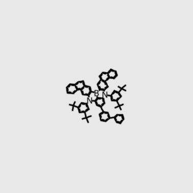 CC(C)(C)c1cc(N2c3cc4c(ccc5ccccc54)cc3B3c4cc5ccc6ccccc6c5cc4N(c4cc(C(C)(C)C)cc(C(C)(C)C)c4)c4cc(-c5cccc(-c6ccccc6)c5)cc2c43)cc(C(C)(C)C)c1